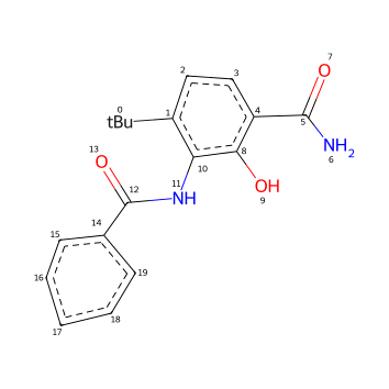 CC(C)(C)c1ccc(C(N)=O)c(O)c1NC(=O)c1ccccc1